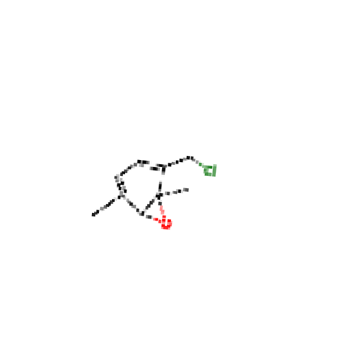 CC1=CC=C(CCl)C2(C)OC12